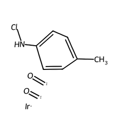 Cc1ccc(NCl)cc1.[C]=O.[C]=O.[Ir]